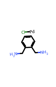 NCc1ccccc1CN.[Cl][Pd]